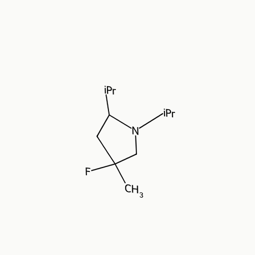 CC(C)C1CC(C)(F)CN1C(C)C